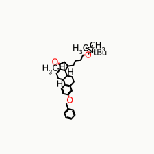 CC(C)(C)[Si](C)(C)OCCCCC1CC(=O)[C@@]2(C)CC[C@@H]3c4ccc(OCc5ccccc5)cc4CC[C@H]3[C@H]12